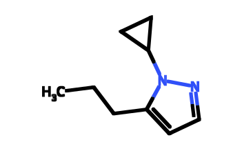 CCCc1ccnn1C1CC1